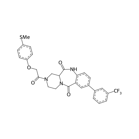 CSc1ccc(OCC(=O)N2CCN3C(=O)c4cc(-c5cccc(C(F)(F)F)c5)ccc4NC(=O)C3C2)cc1